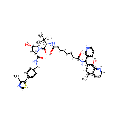 Cc1ncsc1-c1ccc(CNC(=O)[C@H]2C[C@H](O)CN2C(=O)[C@H](NC(=O)CCCCCCC(=O)NC(c2cccnc2)c2cc(C)c3cccnc3c2O)C(C)(C)C)cc1